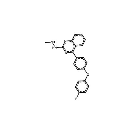 CNNc1nc(-c2ccc(Oc3ccc(F)cc3)cc2)c2ccccc2n1